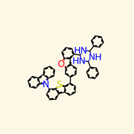 c1ccc(C2NC(c3ccccc3)NC(c3cccc4oc5cc(-c6cccc7c6sc6c(-n8c9ccccc9c9ccccc98)cccc67)ccc5c34)N2)cc1